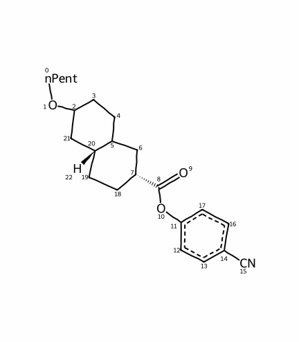 CCCCCOC1CCC2C[C@H](C(=O)Oc3ccc(C#N)cc3)CC[C@@H]2C1